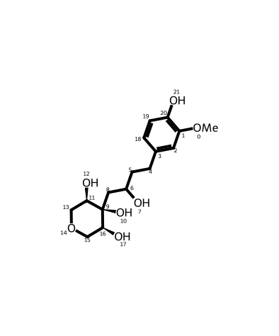 COc1cc(CCC(O)C[C@@]2(O)[C@H](O)COC[C@@H]2O)ccc1O